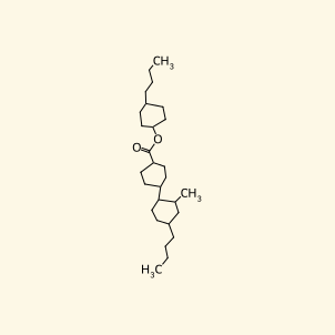 CCCCC1CCC(OC(=O)C2CCC(C3CCC(CCCC)CC3C)CC2)CC1